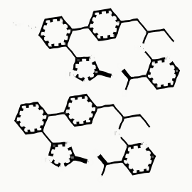 CCC(Cc1ccc(-c2ccccc2-c2nc(=O)s[nH]2)cc1)Nc1ncccc1C(=O)[O-].CCC(Cc1ccc(-c2ccccc2-c2nc(=O)s[nH]2)cc1)Nc1ncccc1C(=O)[O-].[Na+].[Na+]